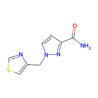 NC(=O)c1[c]cn(Cc2cscn2)n1